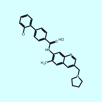 Cc1cc2cc(CN3CCCC3)cnc2cc1NC(=O)c1ccc(-c2ccccc2Cl)cc1.Cl